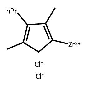 CCCC1=C(C)C[C]([Zr+2])=C1C.[Cl-].[Cl-]